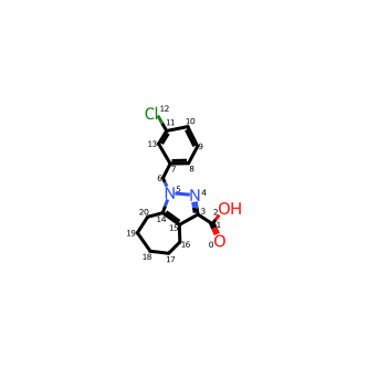 O=C(O)c1nn(Cc2cccc(Cl)c2)c2c1CCCCC2